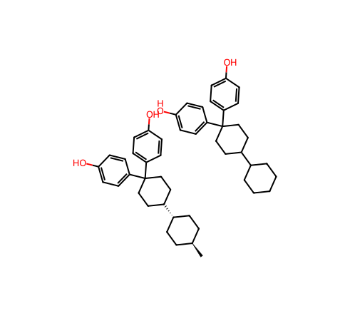 C[C@H]1CC[C@H](C2CCC(c3ccc(O)cc3)(c3ccc(O)cc3)CC2)CC1.Oc1ccc(C2(c3ccc(O)cc3)CCC(C3CCCCC3)CC2)cc1